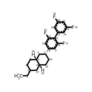 CCC1CC[C@@H]2C[C@H](c3cc(F)c(-c4cc(F)cc(F)c4)c(F)c3)CC[C@@H]2C1